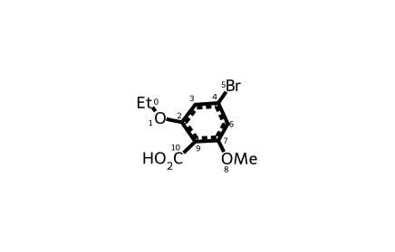 CCOc1cc(Br)cc(OC)c1C(=O)O